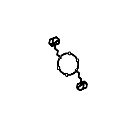 C(CN1CCOCCOCCN(CCCC23CC4CC(CC(C4)C2)C3)CCOCCOCC1)CC12CC3CC(CC(C3)C1)C2